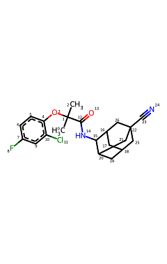 CC(C)(Oc1ccc(F)cc1Cl)C(=O)NC1C2CC3CC1CC(C#N)(C3)C2